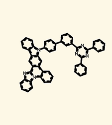 c1ccc(-c2nc(-c3ccccc3)nc(-c3cccc(-c4ccc(-n5c6ccccc6c6cc7c(cc65)c5ccccc5n5c6ccccc6nc75)cc4)c3)n2)cc1